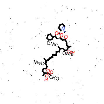 COC1CCCC(CC[C@H](CC(=O)[C@H](C)/C=C(\C)C(O)[C@H](CC(C)CC/C=C/C=C/C=C(\C)[C@H](CC2CCC(C)C(O)(C(=O)C=O)O2)OC)OC)OC(=O)[C@@H]2CCCCN2C)C1